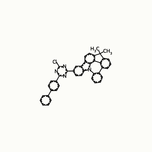 CC1(C)c2cccc3c2-c2c1ccc1c4cc(-c5nc(Cl)nc(-c6ccc(-c7ccccc7)cc6)n5)ccc4n(c21)-c1ccccc1-3